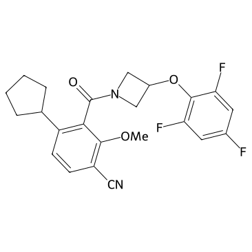 COc1c(C#N)ccc(C2CCCC2)c1C(=O)N1CC(Oc2c(F)cc(F)cc2F)C1